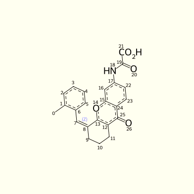 Cc1ccccc1/C=C1/CCCc2c1oc1cc(NC(=O)C(=O)O)ccc1c2=O